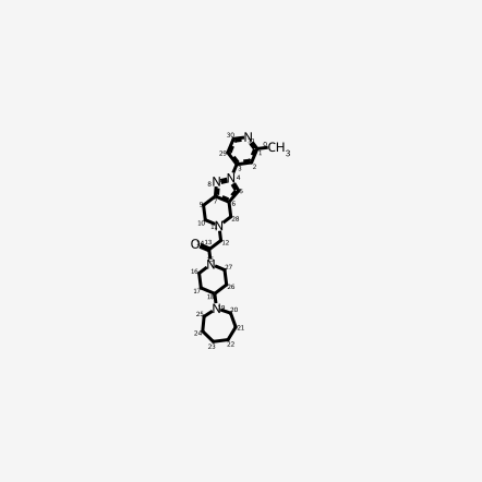 Cc1cc(-n2cc3c(n2)CCN(CC(=O)N2CCC(N4CCCCCC4)CC2)C3)ccn1